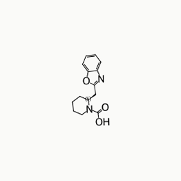 O=C(O)N1CCCC[C@H]1Cc1nc2ccccc2o1